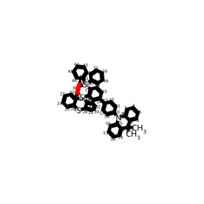 CC1(C)c2ccccc2N(c2ccc(-c3ccc4c(c3)[Si]3(c5ccccc5Sc5ccccc53)c3ccccc3[Si]4(c3ccccc3)c3ccccc3)cc2)c2ccccc21